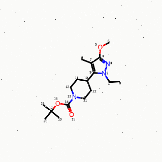 CCn1nc(OC)c(C)c1C1CCN(C(=O)OC(C)(C)C)CC1